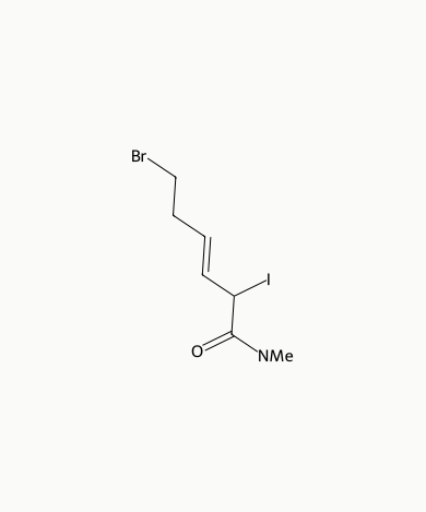 CNC(=O)C(I)C=CCCBr